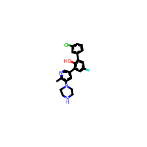 Cc1ncc(-c2cc(F)cc(-c3cccc(Cl)c3)c2O)cc1N1CCNCC1